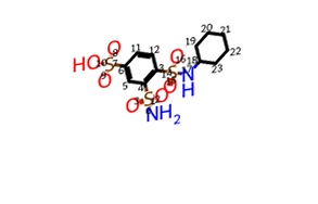 NS(=O)(=O)c1cc(S(=O)(=O)O)ccc1S(=O)(=O)NC1CCCCC1